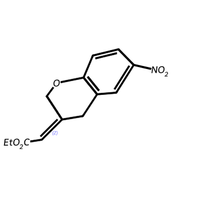 CCOC(=O)/C=C1\COc2ccc([N+](=O)[O-])cc2C1